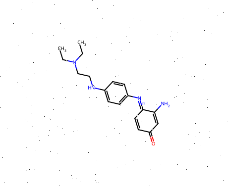 CCN(CC)CCNc1ccc(/N=C2\C=CC(=O)C=C2N)cc1